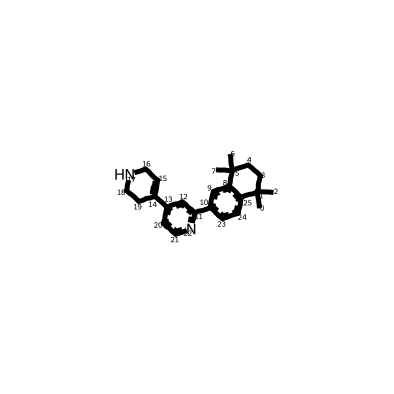 CC1(C)CCC(C)(C)c2cc(-c3cc(C4=CCNCC4)ccn3)ccc21